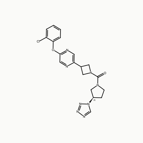 O=C(N1CC(c2cnc(Oc3ccccc3Cl)cn2)C1)N1CC[C@@H](n2cnnn2)C1